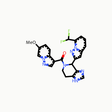 COc1ccc2c(C(=O)N3CCc4[nH]cnc4C3c3cc4cccc(C(F)F)n4n3)cnn2c1